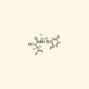 C=C(F)C(C)(C)[C@@H](C#N)C(=O)N[C@H](C)COc1cc(F)ccc1F